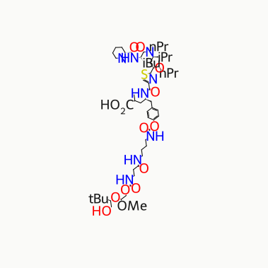 CCCO[C@H](C[C@H](C(C)C)N(CCC)C(=O)[C@@H](NC(=O)[C@H]1CCCCN1C)[C@@H](C)CC)c1nc(C(=O)N[C@@H](Cc2ccc(OC(=O)NCCCCNC(=O)CCNC(=O)OCC(OC)OC(CO)C(C)(C)C)cc2)C[C@H](C)C(=O)O)cs1